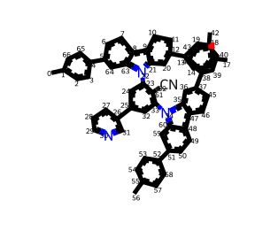 Cc1ccc(-c2ccc3c4ccc(-c5ccc(C)cc5)cc4n(-c4cc(-c5cccnc5)cc(-n5c6cc(-c7ccc(C)cc7)ccc6c6ccc(-c7ccc(C)cc7)cc65)c4C#N)c3c2)cc1